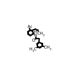 C/C=C\c1c(NC(=O)Cc2cc(C)cc(C)c2)cccc1C(C)=O